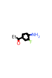 CCC(=O)c1ccc(N)c(F)c1